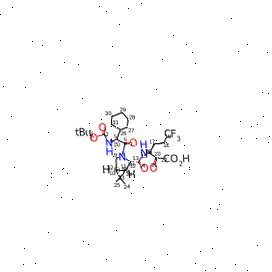 CC(C)(C)OC(=O)N[C@H](C(=O)N1C[C@H]2[C@@H]([C@H]1C(=O)N[C@@H](CCC(F)(F)F)C(=O)C(=O)O)C2(C)C)C1CCCCC1